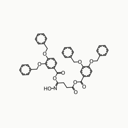 O=C(CC/C(=N/O)OC(=O)c1ccc(OCc2ccccc2)c(OCc2ccccc2)c1)OC(=O)c1ccc(OCc2ccccc2)c(OCc2ccccc2)c1